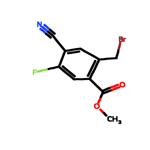 COC(=O)c1cc(F)c(C#N)cc1CBr